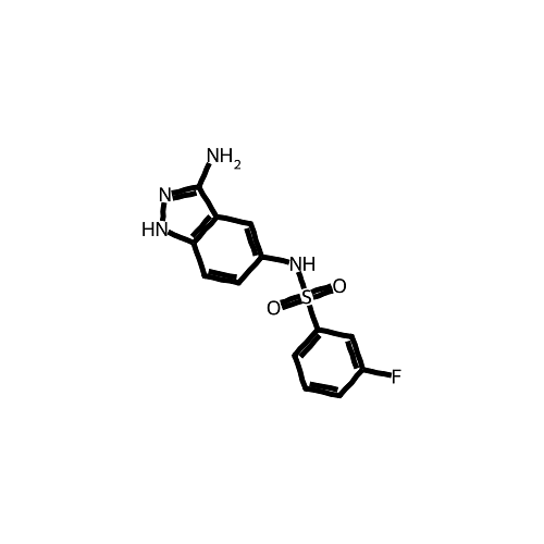 Nc1n[nH]c2ccc(NS(=O)(=O)c3cccc(F)c3)cc12